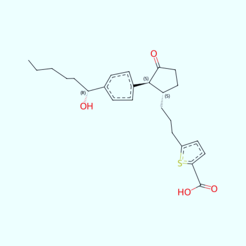 CCCCC[C@@H](O)c1ccc([C@H]2C(=O)CC[C@@H]2CCCc2ccc(C(=O)O)s2)cc1